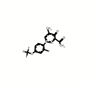 CC(=O)c1nn(-c2ccc(OC(F)(F)F)cc2F)cc(C)c1=O